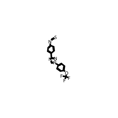 FC(F)(F)Oc1ccc(-n2cnc(-c3ccc(N=C=S)cc3)n2)cc1